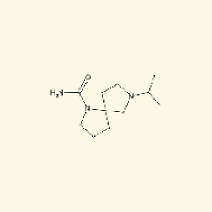 CC(C)N1CCC2(CCCN2C(N)=O)C1